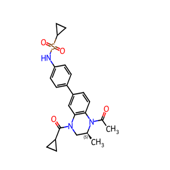 CC(=O)N1c2ccc(-c3ccc(NS(=O)(=O)C4CC4)cc3)cc2N(C(=O)C2CC2)C[C@@H]1C